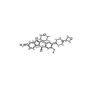 CCc1cc2c(cc1N1CCN(C3COC3)CC1)C1(CCOCC1)c1[nH]c3cc(N)ccc3c1C2=O